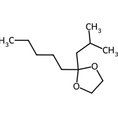 CCCCCC1(CC(C)C)OCCO1